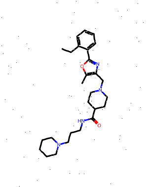 CCc1ccccc1-c1nc(CN2CCC(C(=O)NCCCN3CCCCC3)CC2)c(C)o1